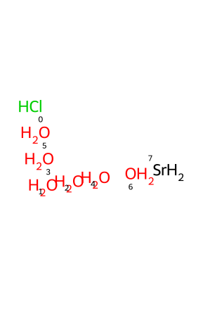 Cl.O.O.O.O.O.O.[SrH2]